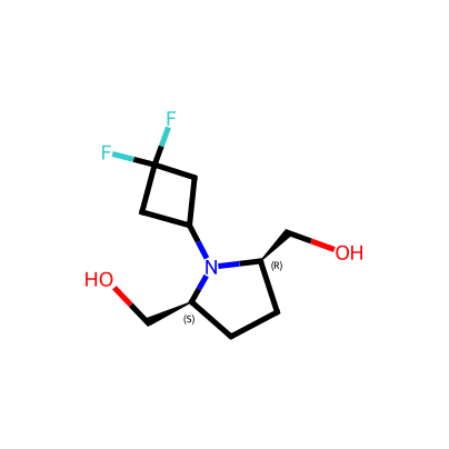 OC[C@@H]1CC[C@H](CO)N1C1CC(F)(F)C1